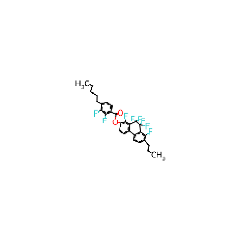 CCCCCc1ccc(C(=O)Oc2ccc3c(c2F)C(F)(F)C(F)(F)c2c-3ccc(CCC)c2F)c(F)c1F